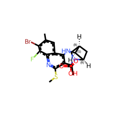 CSc1nc2c(F)c(Br)c(C)cc2c(N[C@H]2[C@@H]3C[C@H]2N(C(=O)O)C3)c1C(C)=O